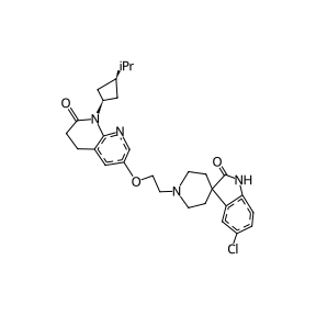 CC(C)[C@H]1C[C@@H](N2C(=O)CCc3cc(OCCN4CCC5(CC4)C(=O)Nc4ccc(Cl)cc45)cnc32)C1